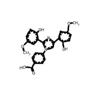 COc1ccc(O)c(-c2cn(-c3ccc(C(=O)O)cc3)c(-c3cc(OC)ccc3O)n2)c1